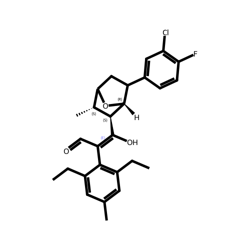 CCc1cc(C)cc(CC)c1/C(C=O)=C(\O)[C@H]1[C@H](C)C2CC(c3ccc(F)c(Cl)c3)[C@H]1O2